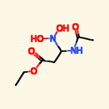 CCOC(=O)CC(NC(C)=O)N(O)O